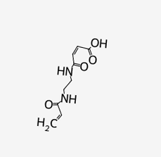 C=CC(=O)NCCNC(=O)/C=C\C(=O)O